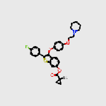 CCC1(C(=O)Oc2ccc3c(Oc4ccc(OCCN5CCCCC5)cc4)c(-c4ccc(F)cc4)sc3c2)CC1